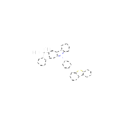 CC1(C)c2ccccc2-c2cc3c(cc21)c1ccccc1n3-c1ccc(-c2cccc3c2sc2ccccc23)cc1